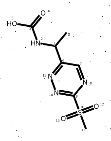 CC(NC(=O)O)c1cnc(S(C)(=O)=O)nn1